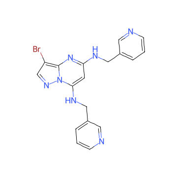 Brc1cnn2c(NCc3cccnc3)cc(NCc3cccnc3)nc12